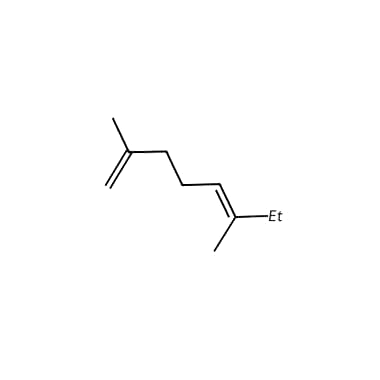 C=C(C)CC/C=C(\C)CC